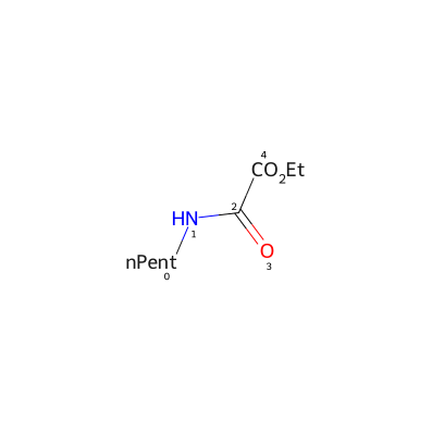 CCCCCNC(=O)C(=O)OCC